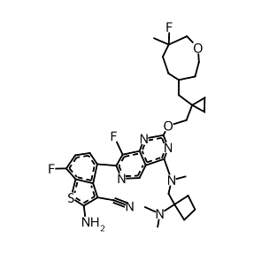 CN(CC1(N(C)C)CCC1)c1nc(OCC2(CC3CCOCC(C)(F)CC3)CC2)nc2c(F)c(-c3ccc(F)c4sc(N)c(C#N)c34)ncc12